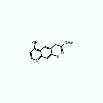 COC(=O)Cc1cc2c(O)ccnc2cc1Br